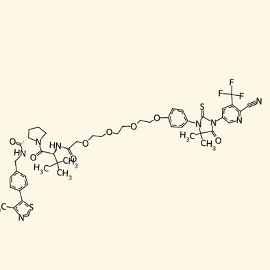 Cc1ncsc1-c1ccc(CNC(=O)[C@@H]2CCCN2C(=O)[C@@H](NC(=O)COCCOCCOCCOc2ccc(N3C(=S)N(c4cnc(C#N)c(C(F)(F)F)c4)C(=O)C3(C)C)cc2)C(C)(C)C)cc1